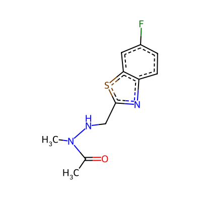 CC(=O)N(C)NCc1nc2ccc(F)cc2s1